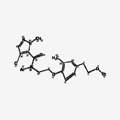 CCOCCc1ccc(OCCN(C(C)=O)C(=O)c2c(Cl)cnn2C)c(C)c1